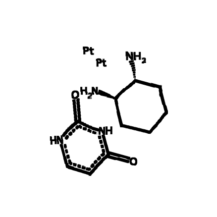 N[C@@H]1CCCC[C@H]1N.O=c1cc[nH]c(=O)[nH]1.[Pt].[Pt]